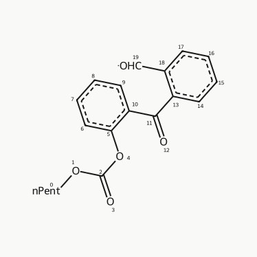 CCCCCOC(=O)Oc1ccccc1C(=O)c1ccccc1[C]=O